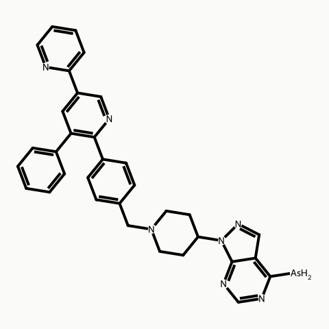 [AsH2]c1ncnc2c1cnn2C1CCN(Cc2ccc(-c3ncc(-c4ccccn4)cc3-c3ccccc3)cc2)CC1